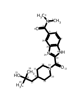 CN(C)C(=O)c1ccc2[nH]c(C(=O)N3CCC(CC(C)(C)O)CC3)nc2c1